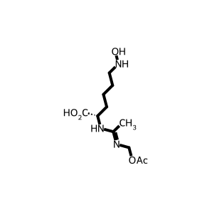 CC(=O)OC/N=C(\C)N[C@@H](CCCCNO)C(=O)O